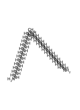 CN(NNNNNNNNNNNNNNNNNNNNNNNNN)NNNNNNNNNNNNNNNNNNNNNNNNNN